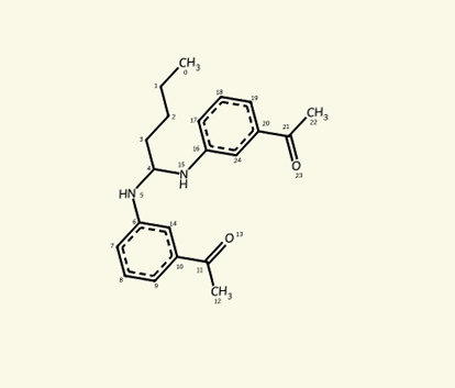 CCCCC(Nc1cccc(C(C)=O)c1)Nc1cccc(C(C)=O)c1